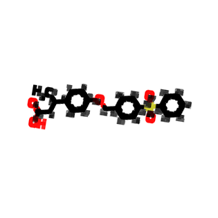 CC(CC(=O)O)c1ccc(OCc2ccc(S(=O)(=O)c3ccccc3)cc2)cc1